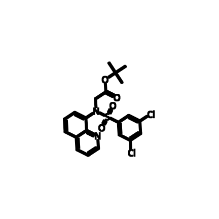 CC(C)(C)OC(=O)CN(c1cccc2cccnc12)S(=O)(=O)c1cc(Cl)cc(Cl)c1